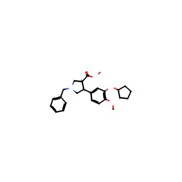 COC(=O)C1CN(Cc2ccccc2)CC1c1ccc(OC)c(OC2CCCC2)c1